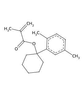 C=C(C)C(=O)OC1(c2cc(C)ccc2C)CCCCC1